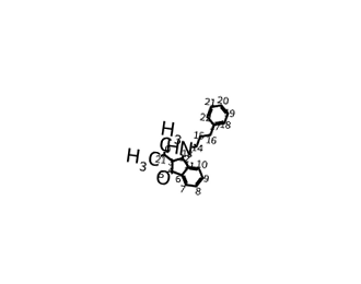 CC(C)C1C(=O)c2ccccc2C1NCCCc1ccccc1